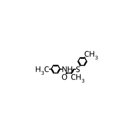 C/C(=C\Sc1ccc(C)cc1)C(=O)Nc1ccc(C)cc1